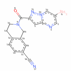 Bc1cnc2cc(C(=O)N3CCc4ccc(C#N)cc4C3)nn2c1